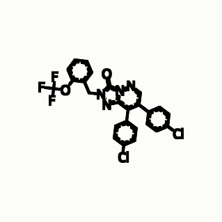 O=c1n(Cc2ccccc2OC(F)(F)F)nc2c(-c3ccc(Cl)cc3)c(-c3ccc(Cl)cc3)cnn12